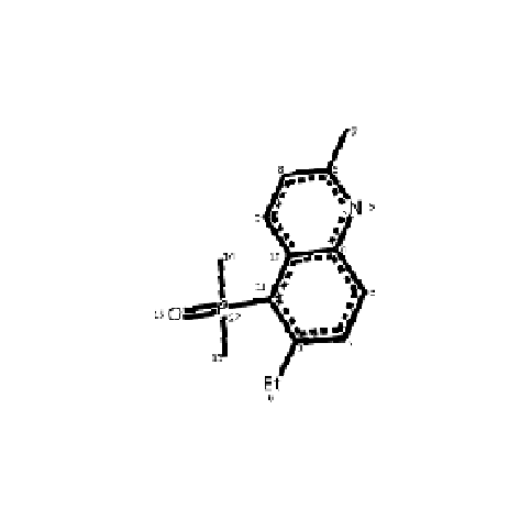 CCc1ccc2nc(C)ccc2c1P(C)(C)=O